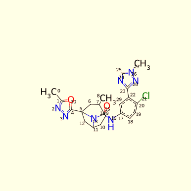 Cc1nnc(C23CC(C)CCC(C2)N3C(=O)Nc2ccc(Cl)c(-c3ncn(C)n3)c2)o1